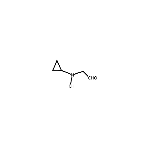 CN(CC=O)C1CC1